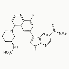 CNC(=O)c1cnc2[nH]cc(-c3cc(F)c4nccc(N5CCC[C@H](NC(=O)O)C5)c4c3)c2c1